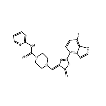 N=C(Nc1ccccn1)N1CCN(C=C2N=C(c3ccc(F)c4occc34)OC2=O)CC1